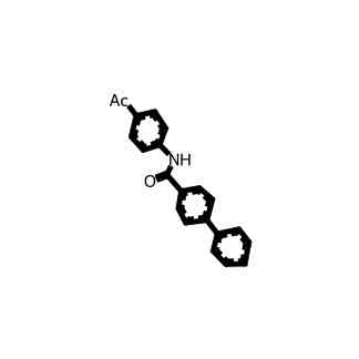 CC(=O)c1ccc(NC(=O)c2ccc(-c3ccccc3)cc2)cc1